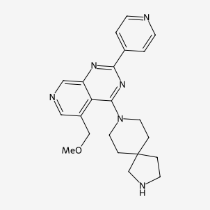 COCc1cncc2nc(-c3ccncc3)nc(N3CCC4(CCNC4)CC3)c12